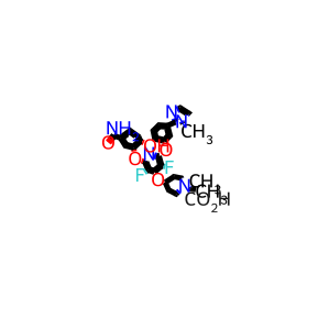 Cn1ccnc1-c1cccc(Oc2nc(Oc3cc(C(N)=O)ccc3O)c(F)c(OC3CCN(C(C)(C)C(=O)O)CC3)c2F)c1